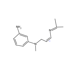 CC(C)=N/C=C\CN(C)c1cccc(N)c1